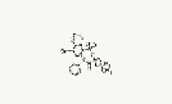 CCC[C@]1(CC)CS(=O)(=O)c2cc(OC)c(Br)cc2[C@@H](c2ccccc2)N1